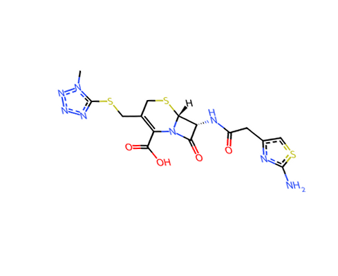 Cn1nnnc1SCC1=C(C(=O)O)N2C(=O)[C@@H](NC(=O)Cc3csc(N)n3)[C@H]2SC1